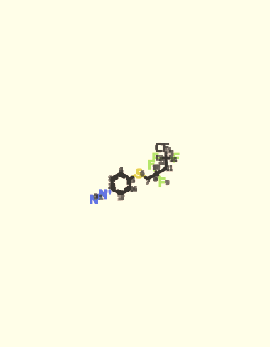 N#[N+]c1ccc(SCC(F)(F)CC(F)(F)C(F)(F)F)cc1